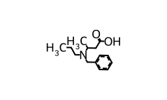 CCCN(Cc1ccccc1)C(C)CC(=O)O